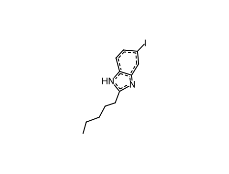 CCCCCc1nc2cc(I)ccc2[nH]1